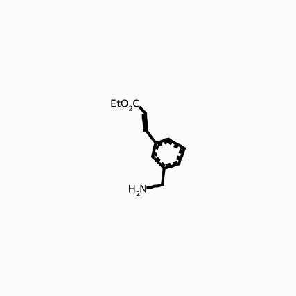 CCOC(=O)/C=C/c1cccc(CN)c1